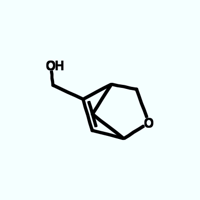 OCC1=CC2CC1CO2